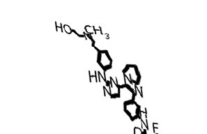 CN(CCO)CCc1cccc(Nc2nccc(-c3c(-c4cccc(NC(=O)c5c(F)cccc5F)c4)nc4ccccn34)n2)c1